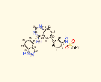 CCCS(=O)(=O)Nc1cccc(-c2ccc3ncnc(Nc4cccc5[nH]ncc45)c3c2)c1